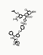 O=C(N[C@@H](c1ccccc1)c1cccc(OCc2ccc(S(=O)(=O)N3CC(C(C(=O)[O-])[C@H](Cc4c(Cl)c[n+](O)cc4Cl)c4ccc(OC(F)F)c(OCC5CC5)c4)C3)cc2)c1)O[C@H]1CN2CCC1CC2